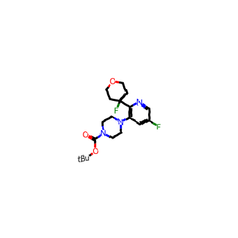 CC(C)(C)OC(=O)N1CCN(c2cc(F)cnc2C2(F)CCOCC2)CC1